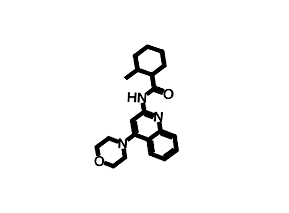 CC1CCCCC1C(=O)Nc1cc(N2CCOCC2)c2ccccc2n1